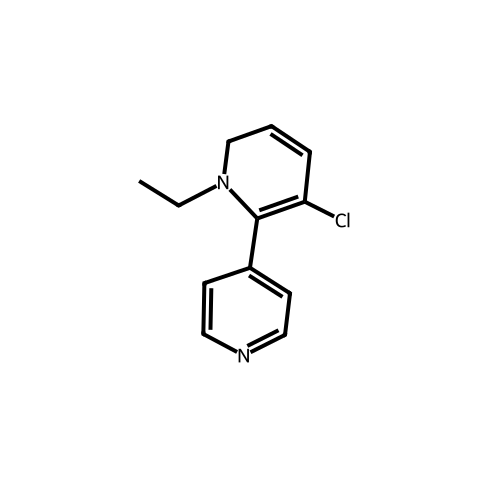 CCN1CC=CC(Cl)=C1c1ccncc1